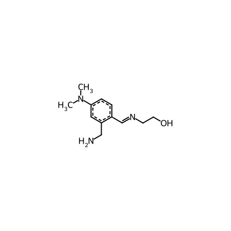 CN(C)c1ccc(C=NCCO)c(CN)c1